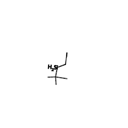 CC(C)(C)[SiH2]CI